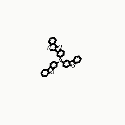 c1ccc2c(c1)ncc1c3cc(N(c4ccc5c(c4)oc4ccccc45)c4ccc5oc6ccccc6c5c4)ccc3oc21